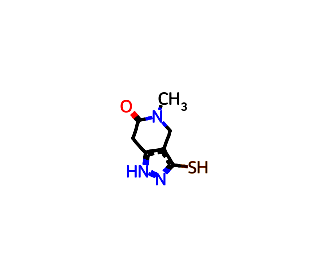 CN1Cc2c(S)n[nH]c2CC1=O